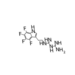 N=C(N)NC(=N)NCCc1c[nH]c2c(F)c(F)c(F)c(F)c12